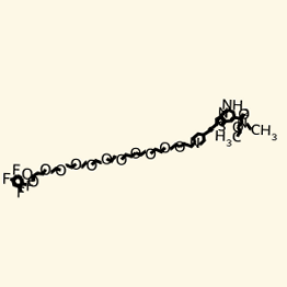 CCCN(OCC)C(=O)C1=Cc2sc(C#CC3CCN(CCOCCOCCOCCOCCOCCOCCOCCOCCOCCOCCC(=O)Oc4c(F)c(F)cc(F)c4F)CC3)cc2N=C(N)C1